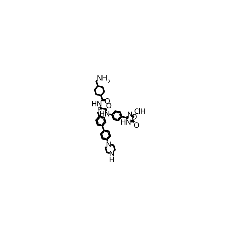 Cl.NCC1CCC(C(=O)N[C@@H](Cc2ccc(-c3ccc(N4CCNCC4)cc3)cc2)C(=O)Nc2ccc(-c3noc(=O)[nH]3)cc2)CC1